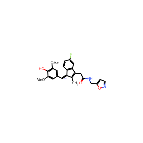 COc1cc(/C=C2/C(C)=C(CC(=O)NCc3ccno3)c3cc(F)ccc32)cc(OC)c1O